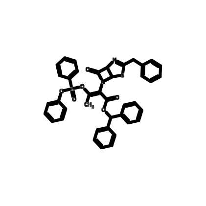 CC(OP(=O)(Oc1ccccc1)c1ccccc1)=C(C(=O)OC(c1ccccc1)c1ccccc1)N1C(=O)C2N=C(Cc3ccccc3)SC21